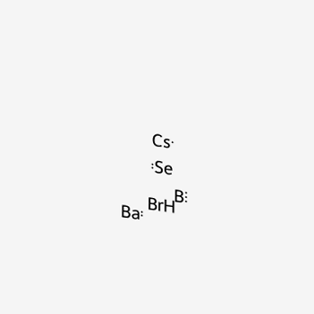 Br.[B].[Ba].[Cs].[Se]